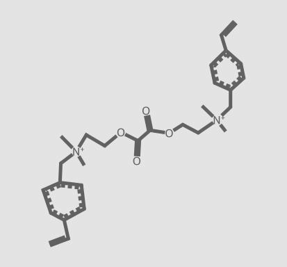 C=Cc1ccc(C[N+](C)(C)CCOC(=O)C(=O)OCC[N+](C)(C)Cc2ccc(C=C)cc2)cc1